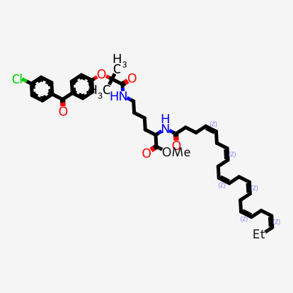 CC/C=C\C/C=C\C/C=C\C/C=C\C/C=C\C/C=C\CCC(=O)NC(CCCCNC(=O)C(C)(C)Oc1ccc(C(=O)c2ccc(Cl)cc2)cc1)C(=O)OC